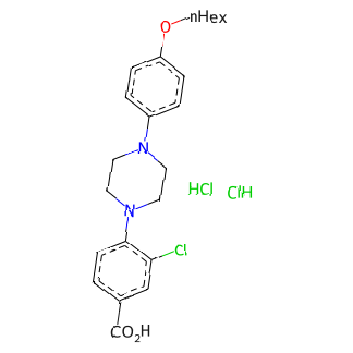 CCCCCCOc1ccc(N2CCN(c3ccc(C(=O)O)cc3Cl)CC2)cc1.Cl.Cl